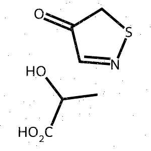 CC(O)C(=O)O.O=C1C=NSC1